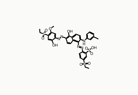 CCS(=O)(=O)c1ccc(/N=N/c2c(Nc3cccc(C)c3)ccc3c(O)c(/N=N/c4cc(OC)c(S(=O)(=O)CC)cc4O)ccc23)c(S(=O)(=O)O)c1